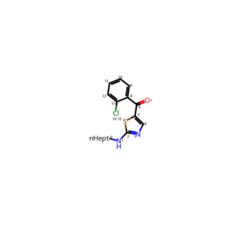 CCCCCC[CH]Nc1ncc(C(=O)c2ccccc2Cl)s1